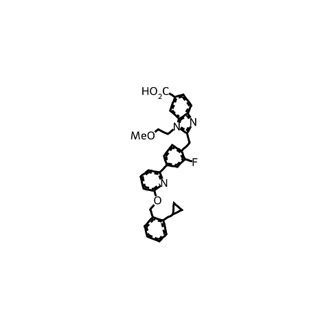 COCCn1c(Cc2ccc(-c3cccc(OCc4ccccc4C4CC4)n3)cc2F)nc2ccc(C(=O)O)cc21